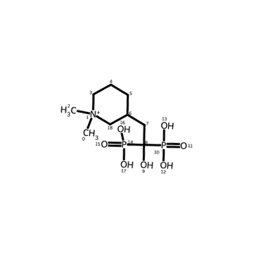 C[N+]1(C)CCCC(CC(O)(P(=O)(O)O)P(=O)(O)O)C1